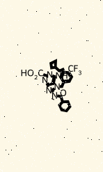 CC(Nc1nc(C(=O)O)nc2nc(N(C)C(=O)C3CCCCC3)n(Cc3ccc(C(F)(F)F)cc3)c12)C1CCC1